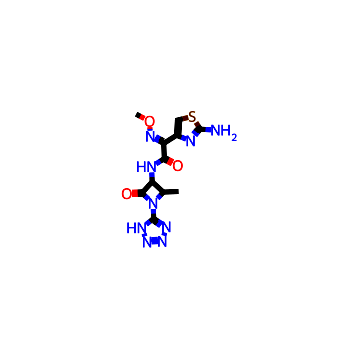 CON=C(C(=O)NC1C(=O)N(c2nnn[nH]2)C1C)c1csc(N)n1